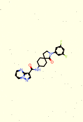 O=C(NC1CCC2(CC1)CCN(c1cc(F)cc(F)c1)C2=O)c1cnn2cccnc12